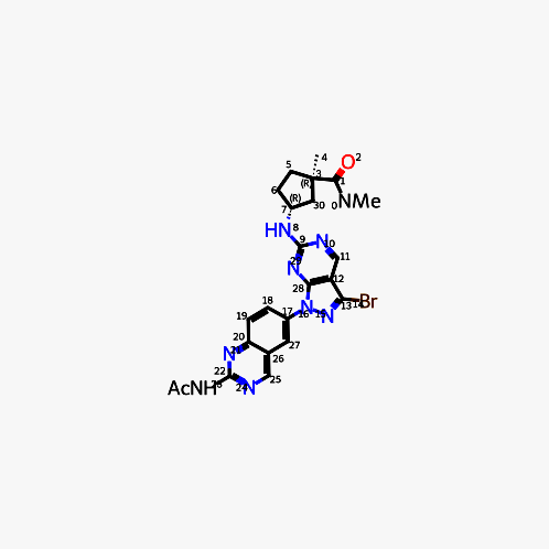 CNC(=O)[C@]1(C)CC[C@@H](Nc2ncc3c(Br)nn(-c4ccc5nc(NC(C)=O)ncc5c4)c3n2)C1